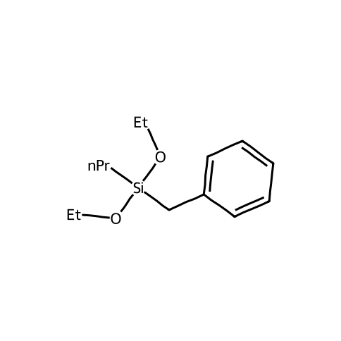 CCC[Si](Cc1ccccc1)(OCC)OCC